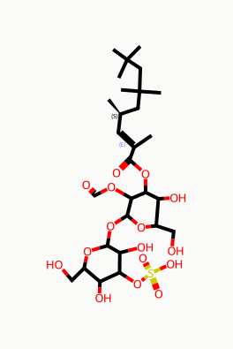 C/C(=C\[C@@H](C)CC(C)(C)CC(C)(C)C)C(=O)OC1C(O)C(CO)OC(OC2OC(CO)C(O)C(OS(=O)(=O)O)C2O)C1OC=O